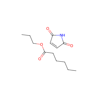 CCCCCC(=O)OCCC.O=C1C=CC(=O)N1